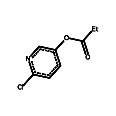 CCC(=O)Oc1ccc(Cl)nc1